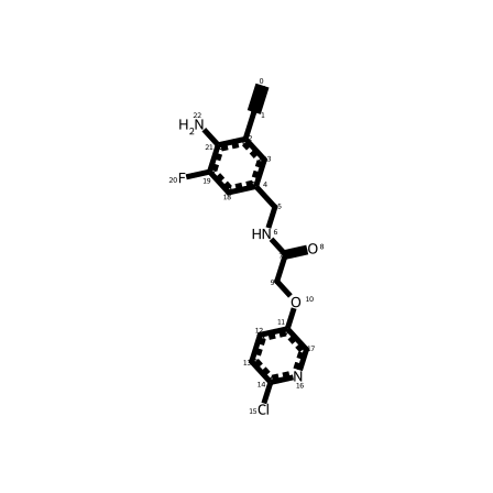 C#Cc1cc(CNC(=O)COc2ccc(Cl)nc2)cc(F)c1N